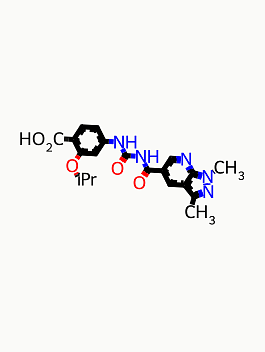 Cc1nn(C)c2ncc(C(=O)NC(=O)Nc3ccc(C(=O)O)c(OC(C)C)c3)cc12